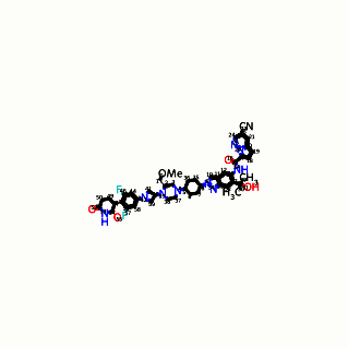 COC[C@@H]1CN(C2CCC(n3cc4cc(NC(=O)c5ccc6cc(C#N)cnn56)c(C(C)(C)O)cc4n3)CC2)CCN1C1CN(c2cc(F)c([C@H]3CCC(=O)NC3=O)c(F)c2)C1